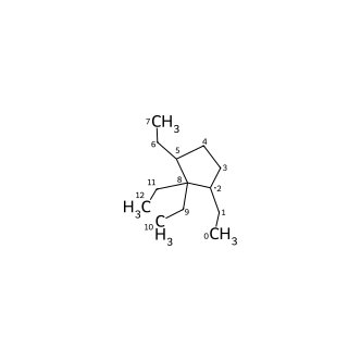 CC[C]1CCC(CC)C1(CC)CC